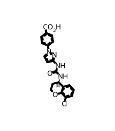 O=C(Nc1ccn(-c2ccc(C(=O)O)cc2)n1)N[C@H]1CCOc2c(Cl)cccc21